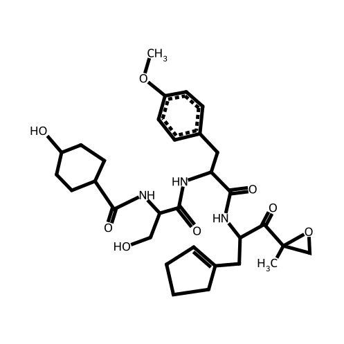 COc1ccc(CC(NC(=O)C(CO)NC(=O)C2CCC(O)CC2)C(=O)NC(CC2=CCCC2)C(=O)C2(C)CO2)cc1